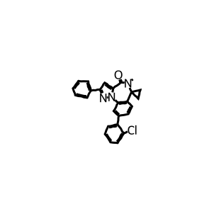 CN1C(=O)c2cc(-c3ccccc3)nn2-c2cc(-c3ccccc3Cl)ccc2C12CC2